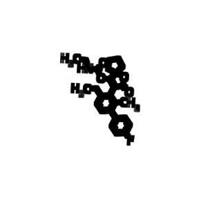 CCNC(=O)OC1=C(c2c(CC)ccc(-c3ccc(F)cc3)c2C)C(=O)OC12CCCC2